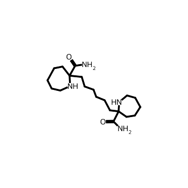 NC(=O)C1(CCCCCCC2(C(N)=O)CCCCCN2)CCCCCN1